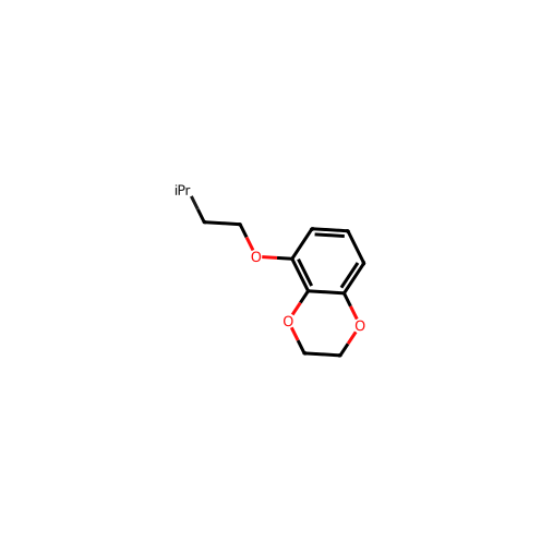 CC(C)CCOc1cccc2c1OCCO2